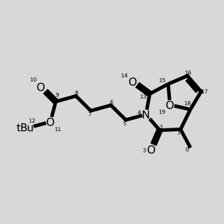 CC1C(=O)N(CCCCC(=O)OC(C)(C)C)C(=O)C2C=CC1O2